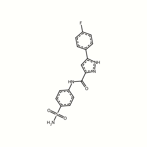 NS(=O)(=O)c1ccc(NC(=O)c2cc(-c3ccc(F)cc3)[nH]n2)cc1